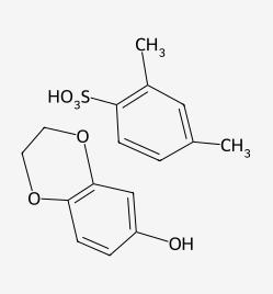 Cc1ccc(S(=O)(=O)O)c(C)c1.Oc1ccc2c(c1)OCCO2